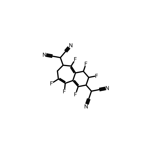 N#CC(C#N)C1CC(F)=C(F)C2=C(F)C(C(C#N)C#N)C(F)C(F)C2=C1F